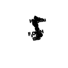 CC(C)(C)OC(=O)N1CCC[C@H]1c1nc2c([nH]1)CCc1cc(-c3ccc(-c4[nH]c([C@@H]5CCCN5C(=O)OC(C)(C)C)nc4CCC(F)(F)F)cc3)ccc1-2